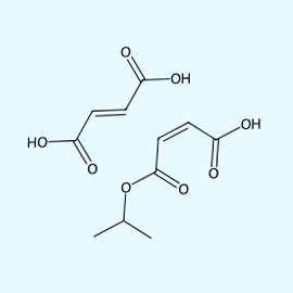 CC(C)OC(=O)/C=C\C(=O)O.O=C(O)/C=C/C(=O)O